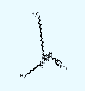 CCCCCCCCCCCCCCCCCCSc1nc(NCCN2CCN(C)CC2)nc(SOC(=O)CCCCCCCC)n1